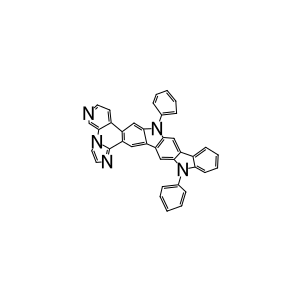 c1ccc(-n2c3ccccc3c3cc4c(cc32)c2cc3c(cc2n4-c2ccccc2)c2ccncc2n2ccnc32)cc1